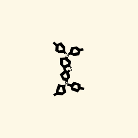 Cc1ccc(N(c2ccc(C)cc2)c2ccc3c(c2)sc2cc(N(c4ccc(C)cc4)c4ccc(C)cc4)ccc23)cc1